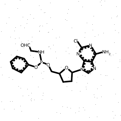 Nc1nc(Cl)nc2c1ncn2C1CCC(COP(NCC=O)Oc2ccccc2)O1